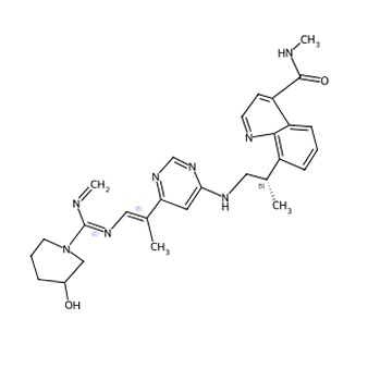 C=N/C(=N\C=C(/C)c1cc(NC[C@@H](C)c2cccc3c(C(=O)NC)ccnc23)ncn1)N1CCCC(O)C1